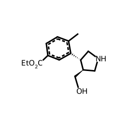 CCOC(=O)c1ccc(C)c([C@@H]2CNC[C@H]2CO)c1